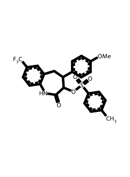 COc1ccc(C2Cc3cc(C(F)(F)F)ccc3NC(=O)C2OS(=O)(=O)c2ccc(C)cc2)cc1